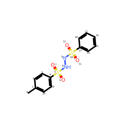 Cc1ccc(S(=O)(=O)N[N]S(=O)(=O)c2ccccc2)cc1